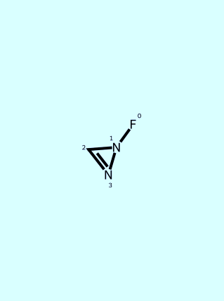 FN1C=N1